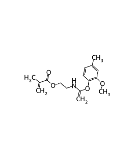 C=C(NCCOC(=O)C(=C)C)Oc1ccc(C)cc1OC